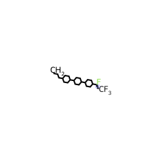 C=CCCC1CCC(C2CCC(C3CCC(/C(F)=C/C(F)(F)F)CC3)CC2)CC1